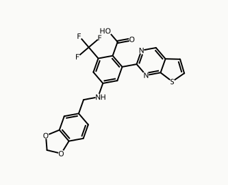 O=C(O)c1c(-c2ncc3ccsc3n2)cc(NCc2ccc3c(c2)OCO3)cc1C(F)(F)F